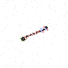 O=C(CCN1C(=O)C=CC1=O)NCCOCCOCCOCCOCCC(=O)Oc1c(F)c(F)c(F)c(F)c1F